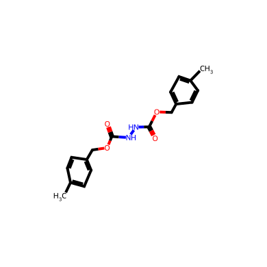 Cc1ccc(COC(=O)NNC(=O)OCc2ccc(C)cc2)cc1